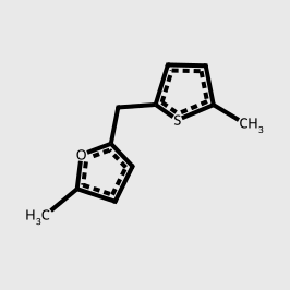 Cc1ccc(Cc2ccc(C)s2)o1